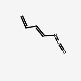 C=C/C=C/N=C=O